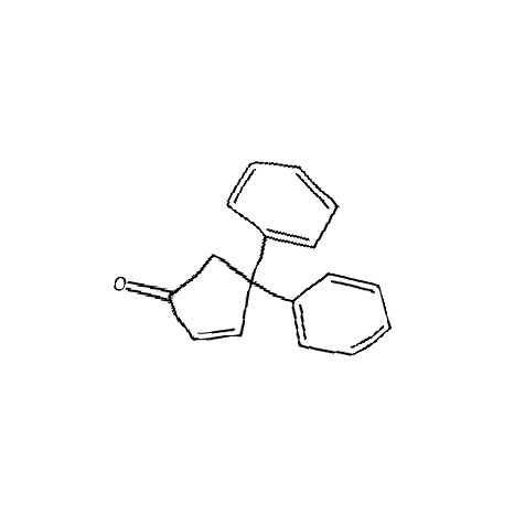 O=C1C=CC(c2ccccc2)(c2ccccc2)C1